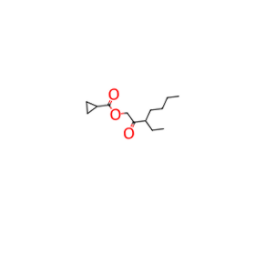 CCCCC(CC)C(=O)COC(=O)C1CC1